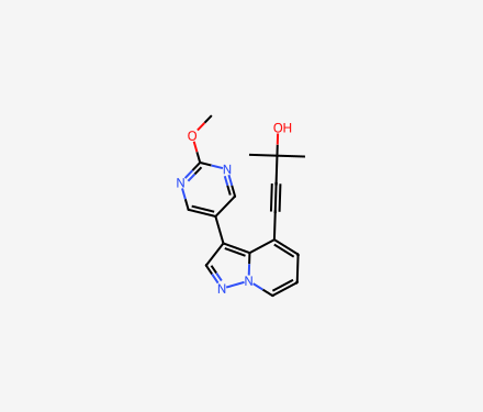 COc1ncc(-c2cnn3cccc(C#CC(C)(C)O)c23)cn1